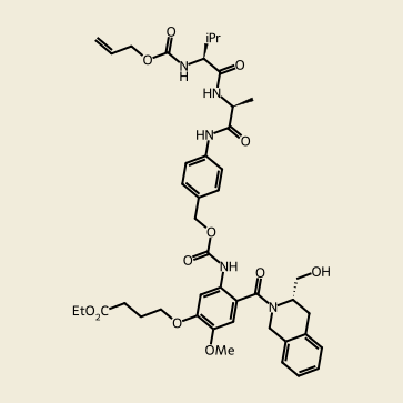 C=CCOC(=O)N[C@H](C(=O)N[C@@H](C)C(=O)Nc1ccc(COC(=O)Nc2cc(OCCCC(=O)OCC)c(OC)cc2C(=O)N2Cc3ccccc3C[C@H]2CO)cc1)C(C)C